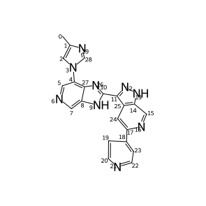 Cc1cn(-c2cncc3[nH]c(-c4n[nH]c5cnc(-c6ccncc6)cc45)nc23)cn1